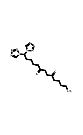 CCCCCC(=O)CCC(=O)CCCCC(n1cnnn1)n1cnnn1